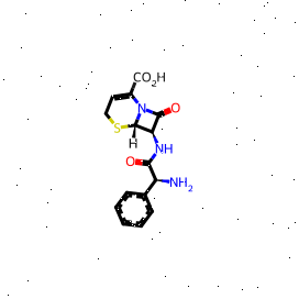 N[C@H](C(=O)N[C@@H]1C(=O)N2C(C(=O)O)=CCS[C@@H]12)c1ccccc1